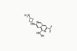 CC(C)Nc1nc(C(F)F)cc2cnc(N[C@H]3C[C@H](N)C3)cc12